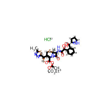 CCOC(=O)OC(C)OC(=O)C1=C(C(=S)c2nnc(C)s2)CS[C@H]2C(NC(=O)C(O)c3ccccc3C(=O)[C@@H]3CCCN3)C(=O)N12.Cl